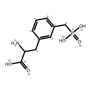 NC(Cc1cccc(CP(=O)(O)O)c1)C(=O)O